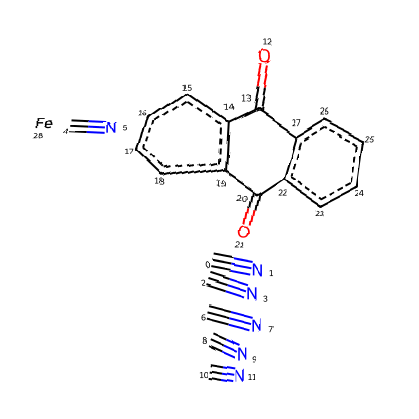 C#N.C#N.C#N.C#N.C#N.C#N.O=C1c2ccccc2C(=O)c2ccccc21.[Fe]